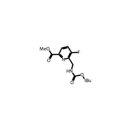 COC(=O)c1ccc(F)c(CNC(=O)OC(C)(C)C)n1